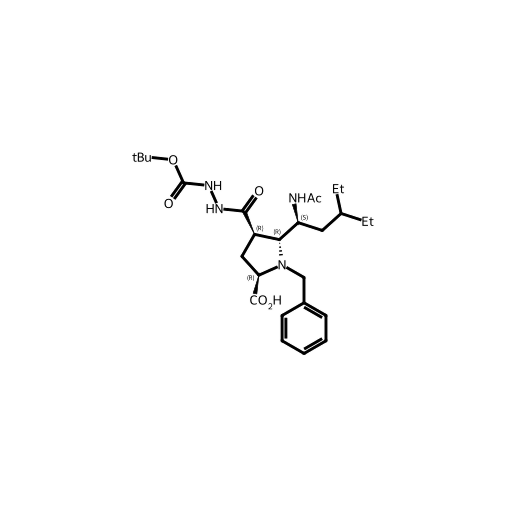 CCC(CC)C[C@H](NC(C)=O)[C@H]1[C@H](C(=O)NNC(=O)OC(C)(C)C)C[C@H](C(=O)O)N1Cc1ccccc1